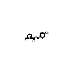 COc1ccc(/C=C/C(=O)c2cccc(F)c2)cc1